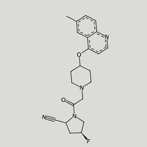 Cc1ccc2nccc(OC3CCN(CC(=O)N4C[C@@H](F)CC4C#N)CC3)c2c1